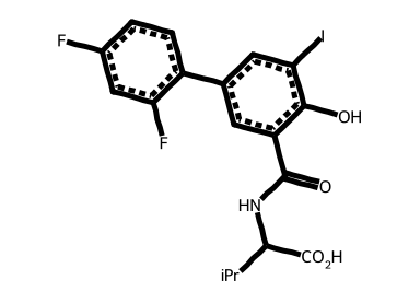 CC(C)C(NC(=O)c1cc(-c2ccc(F)cc2F)cc(I)c1O)C(=O)O